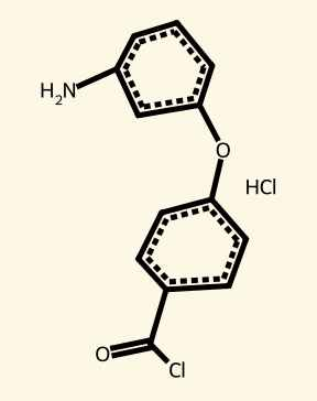 Cl.Nc1cccc(Oc2ccc(C(=O)Cl)cc2)c1